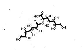 O=C(O[C@@H](C(=O)O)[C@H](O)[C@@H](O)[C@H](O)[C@H](O)CO)[C@H](O)[C@@H](O)[C@H](O)[C@H](O)C(O)CO